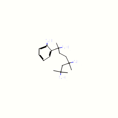 CC(C)(N)CC(C)(N)CCC(C)(N)c1ccccc1N